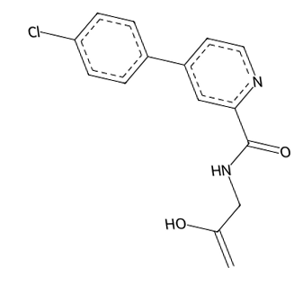 C=C(O)CNC(=O)c1cc(-c2ccc(Cl)cc2)ccn1